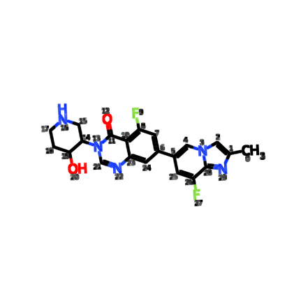 Cc1cn2cc(-c3cc(F)c4c(=O)n(C5CNCCC5O)cnc4c3)cc(F)c2n1